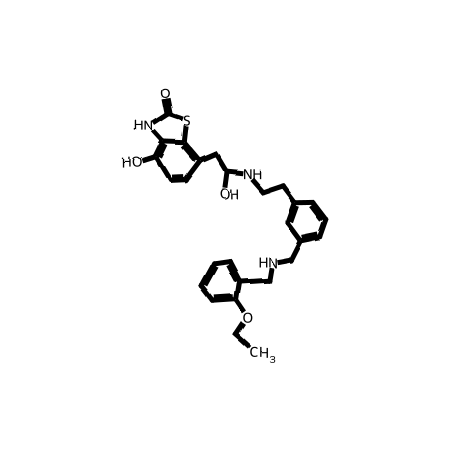 CCOc1ccccc1CNCc1cccc(CCNC(O)Cc2ccc(O)c3[nH]c(=O)sc23)c1